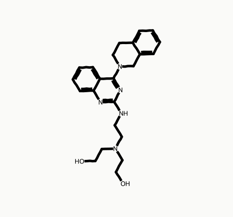 OCCN(CCO)CCNc1nc(N2CCc3ccccc3C2)c2ccccc2n1